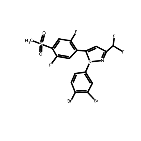 CS(=O)(=O)c1cc(F)c(-c2cc(C(F)F)nn2-c2ccc(Br)c(Br)c2)cc1F